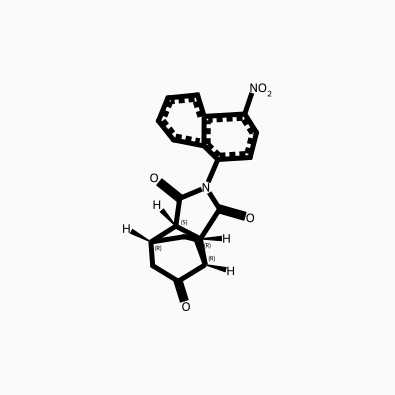 O=C1C[C@H]2CC[C@@H]1[C@H]1C(=O)N(c3ccc([N+](=O)[O-])c4ccccc34)C(=O)[C@@H]21